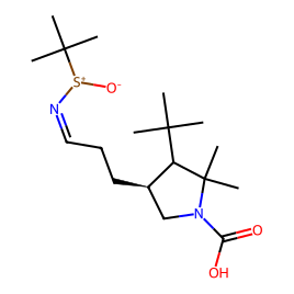 CC(C)(C)C1[C@H](CC/C=N\[S+]([O-])C(C)(C)C)CN(C(=O)O)C1(C)C